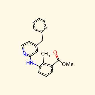 COC(=O)c1cccc(Nc2cc(Cc3ccccc3)ccn2)c1C